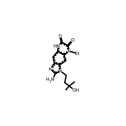 CCn1c(=O)c(=O)[nH]c2cc3nc(N)n(CCC(C)(C)O)c3cc21